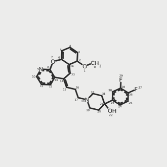 COC1C=CC=C2Oc3ncccc3C(=CCCN3CCC(O)(c4ccc(F)c(F)c4)CC3)C=C21